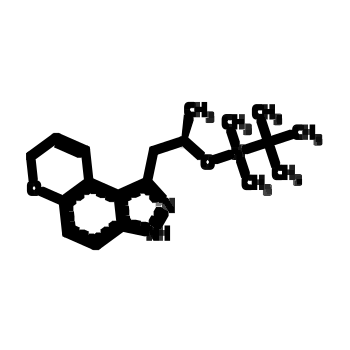 C[C@H](Cc1n[nH]c2ccc3c(c12)C=CCO3)O[Si](C)(C)C(C)(C)C